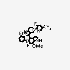 CCc1cccc(CC)c1-n1nc2c(c1-c1cc(F)c(OC)c3[nH]ccc13)CN(c1ncc(C(F)(F)F)cc1F)CC2